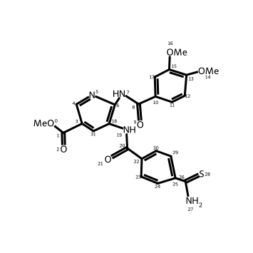 COC(=O)c1cnc(NC(=O)c2ccc(OC)c(OC)c2)c(NC(=O)c2ccc(C(N)=S)cc2)c1